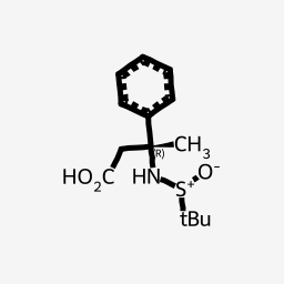 CC(C)(C)[S+]([O-])N[C@](C)(CC(=O)O)c1ccccc1